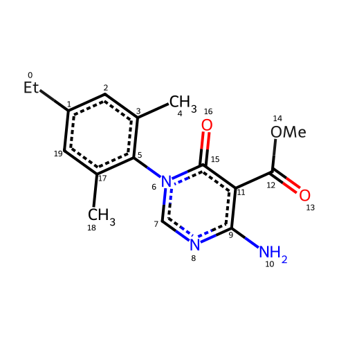 CCc1cc(C)c(-n2cnc(N)c(C(=O)OC)c2=O)c(C)c1